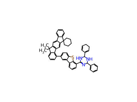 CC1(C)c2cc3c(cc2-c2c(-c4ccc5sc6c(C7=NC(c8ccccc8)NC(C8=CCCC=C8)N7)cccc6c5c4)cccc21)C1(CCCCC1)c1ccccc1-3